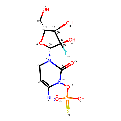 NC1=CCN([C@@H]2O[C@H](CO)[C@@H](O)[C@]2(O)F)C(=O)N1OP(O)(O)=S